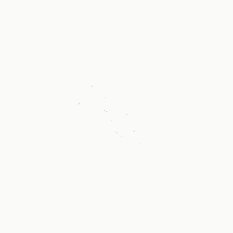 O=C(O)c1ccc(N2CC3(COC3)C2)cc1